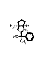 C[C@@]12CCC[C@@H]1N[C@H]([C@](C)(O)c1ccccc1)C2